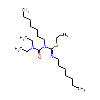 CCCCCCCN=C(SCC)N(CCCCCCC)C(=O)N(CC)CC